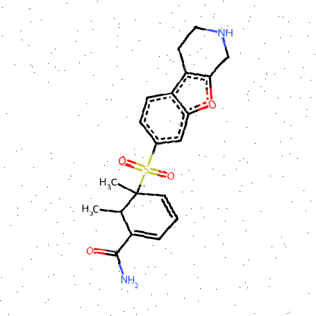 CC1C(C(N)=O)=CC=CC1(C)S(=O)(=O)c1ccc2c3c(oc2c1)CNCC3